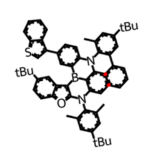 Cc1cc(C(C)(C)C)cc(C)c1N1c2cccc3c2B(c2cc(-c4csc5ccccc45)ccc2N3c2c(C)cc(C(C)(C)C)cc2-c2ccccc2)c2c1oc1ccc(C(C)(C)C)cc21